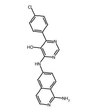 Nc1nccc2cc(Nc3ncnc(-c4ccc(Cl)cc4)c3O)ccc12